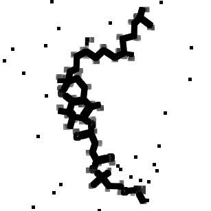 CPOCCC(C)(C)OC(=O)CCC(=O)Oc1c(C)c(C)c2c(c1C)CC[C@@](C)(CCC[C@H](C)CCC[C@H](C)CCCC(C)C)O2